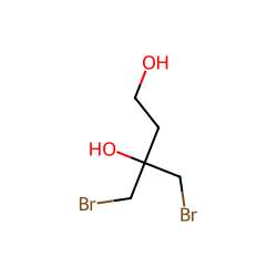 OCCC(O)(CBr)CBr